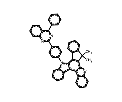 CC1(C)c2ccccc2-c2c1c1sc3ccccc3c1c1c3ccccc3n(-c3ccc(-c4nc(-c5ccccc5)c5ccccc5n4)cc3)c21